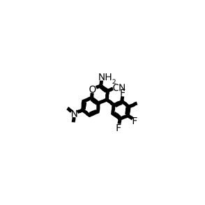 Cc1c(F)c(F)cc(C2C(C#N)=C(N)Oc3cc(N(C)C)ccc32)c1F